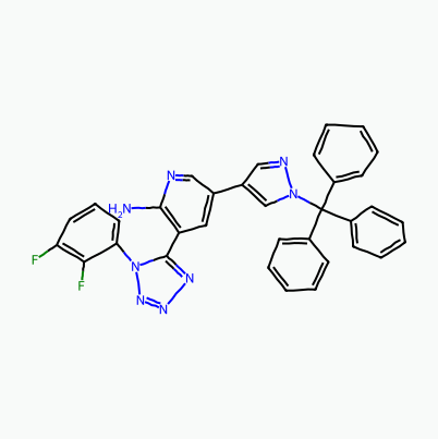 Nc1ncc(-c2cnn(C(c3ccccc3)(c3ccccc3)c3ccccc3)c2)cc1-c1nnnn1-c1cccc(F)c1F